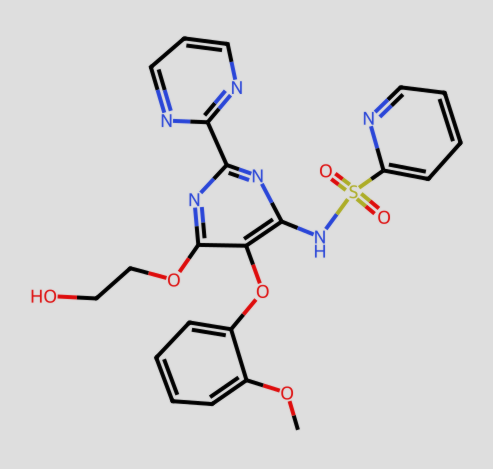 COc1ccccc1Oc1c(NS(=O)(=O)c2ccccn2)nc(-c2ncccn2)nc1OCCO